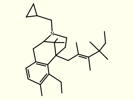 CCc1c(C)ccc2c1C1(C/C(C)=C(\C)C(C)(C)CC)CCN(CC3CC3)C(C2)C1(C)C